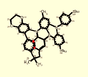 Cc1cc2c3c(c1)N(c1cc4c(cc1-c1ccccc1)OCCO4)C1C=C4CC(C)(C)CC4=CC1B3c1cc(C(C)(C)C)ccc1N2c1ccc(C(C)(C)C)cc1